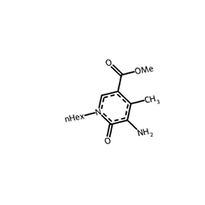 CCCCCCn1cc(C(=O)OC)c(C)c(N)c1=O